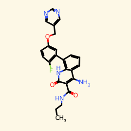 CCCNC(=O)c1c(N)c2cccc(-c3cc(OCc4cncnc4)ccc3F)c2[nH]c1=O